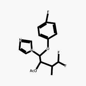 CC(=O)OC(C(C)C(F)F)C(Oc1ccc(F)cc1)n1ccnc1